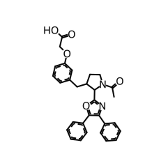 CC(=O)N1CCC(Cc2cccc(OCC(=O)O)c2)C1c1nc(-c2ccccc2)c(-c2ccccc2)o1